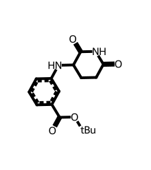 CC(C)(C)OC(=O)c1cccc(NC2CCC(=O)NC2=O)c1